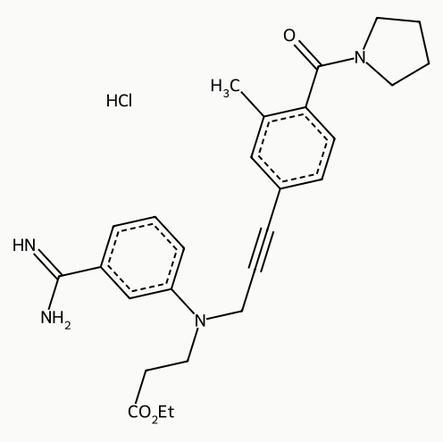 CCOC(=O)CCN(CC#Cc1ccc(C(=O)N2CCCC2)c(C)c1)c1cccc(C(=N)N)c1.Cl